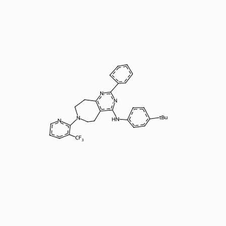 CC(C)(C)c1ccc(Nc2nc(-c3ccccc3)nc3c2CCN(c2ncccc2C(F)(F)F)CC3)cc1